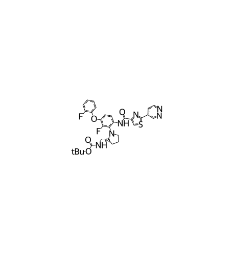 CC(C)(C)OC(=O)NC[C@H]1CCCN1c1c(NC(=O)c2csc(-c3ccnnc3)n2)ccc(Oc2ccccc2F)c1F